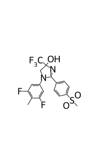 Cc1c(F)cc(N2CC(O)(C(F)(F)F)N=C2c2ccc(S(C)(=O)=O)cc2)cc1F